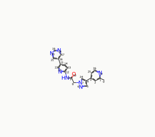 Cc1cc(-c2cnn(CC(=O)Nc3ccc(-c4cncnc4)cn3)c2)ccn1